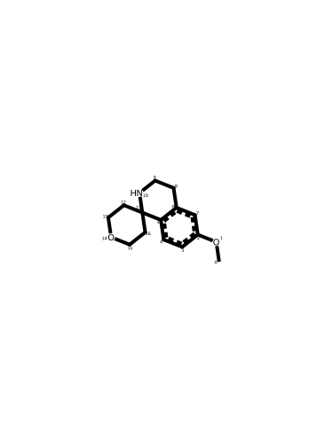 COc1ccc2c(c1)CCNC21CCOCC1